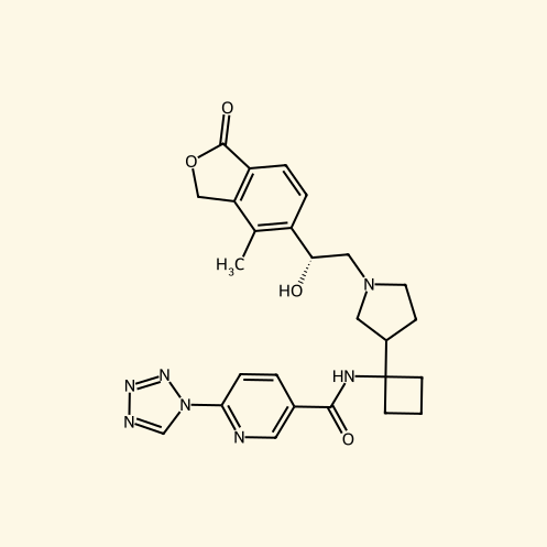 Cc1c([C@@H](O)CN2CCC(C3(NC(=O)c4ccc(-n5cnnn5)nc4)CCC3)C2)ccc2c1COC2=O